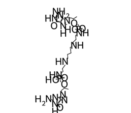 CC(CN1CNc2c1nc(N)[nH]c2=O)OCP(=O)(O)NCCCNCCCCNCCCNP(=O)(O)COC(C)Cn1cnc2c(=O)[nH]c(N)nc21